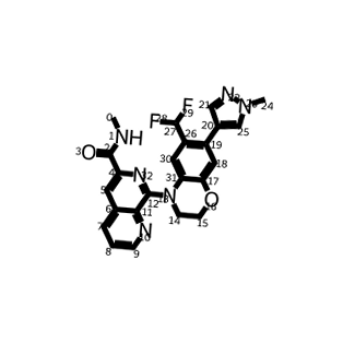 CNC(=O)c1cc2cccnc2c(N2CCOc3cc(-c4cnn(C)c4)c(C(F)F)cc32)n1